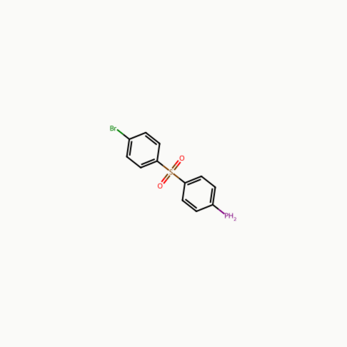 O=S(=O)(c1ccc(P)cc1)c1ccc(Br)cc1